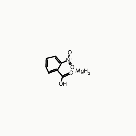 O=C(O)c1ccccc1[N+](=O)[O-].[MgH2]